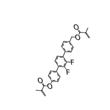 C=C(C)C(=O)OCc1ccc(-c2ccc(-c3ccc(OC(=O)C(=C)C)cc3)c(F)c2F)cc1